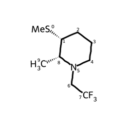 CS[C@@H]1CCCN(CC(F)(F)F)[C@@H]1C